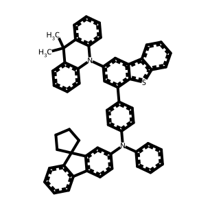 CC1(C)c2ccccc2N(c2cc(-c3ccc(N(c4ccccc4)c4ccc5c(c4)C4(CCCC4)c4ccccc4-5)cc3)c3sc4ccccc4c3c2)c2ccccc21